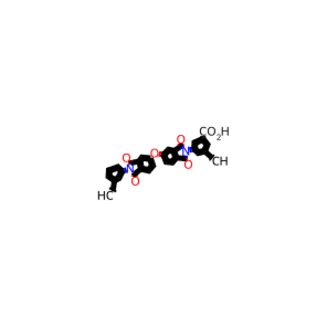 C#Cc1cccc(N2C(=O)c3ccc(Oc4ccc5c(c4)C(=O)N(c4cc(C#C)cc(C(=O)O)c4)C5=O)cc3C2=O)c1